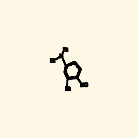 CCc1cc(N(CC)CC)ccc1N=O